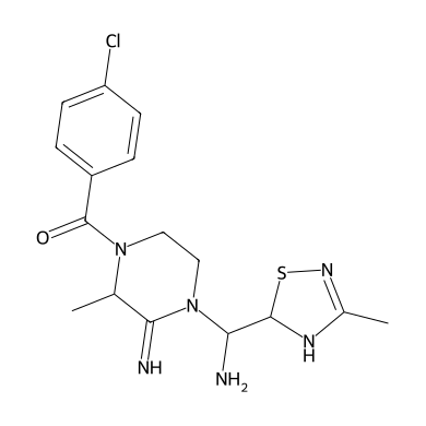 CC1=NSC(C(N)N2CCN(C(=O)c3ccc(Cl)cc3)C(C)C2=N)N1